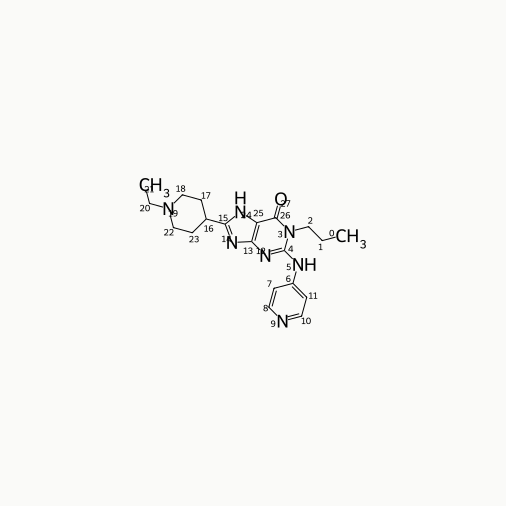 CCCn1c(Nc2ccncc2)nc2nc(C3CCN(CC)CC3)[nH]c2c1=O